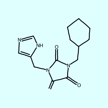 C=C1C(=O)N(CC2CCCCC2)C(=O)N1Cc1cnc[nH]1